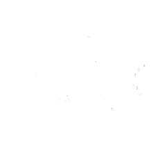 C=CC1N(C)c2ccccc2C1(C)C